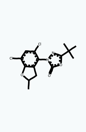 CC1Cc2c(c(Cl)cc(Cl)c2-n2nc(C(C)(C)C)oc2=O)O1